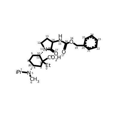 CCC1(C(=O)O)C[C@H](N(C)C(C)C)CC[C@@H]1N1CCC(NC(=O)OCc2ccccc2)C1=O